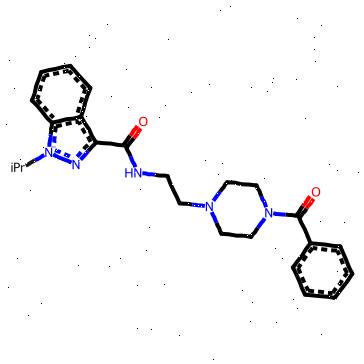 CC(C)n1nc(C(=O)NCCN2CCN(C(=O)c3ccccc3)CC2)c2ccccc21